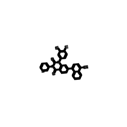 N#Cc1ccc(-c2ccc3c(=O)n(-c4cccnc4)c(=O)n(-c4ccc(Cl)c(Cl)c4)c3c2)c2ccccc12